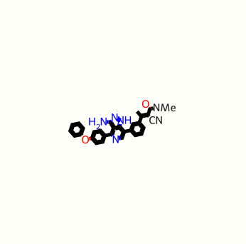 CNC(=O)/C(C#N)=C(\C)c1cccc(-c2cnc(-c3ccc(Oc4ccccc4)cc3)c3c(N)n[nH]c23)c1